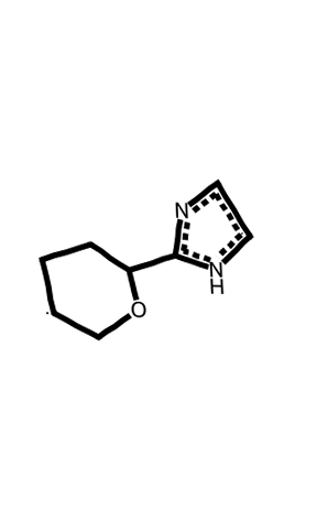 [CH]1CCC(c2ncc[nH]2)OC1